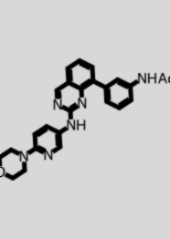 CC(=O)Nc1cccc(-c2cccc3cnc(Nc4ccc(N5CCOCC5)nc4)nc23)c1